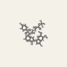 COc1cc2c(nc1OC)c(-c1cc3c(C(NCCNC(=O)OC(C)(C)C)S(=O)(=O)c4ccc(C)cc4)ccnc3[nH]1)cn2C